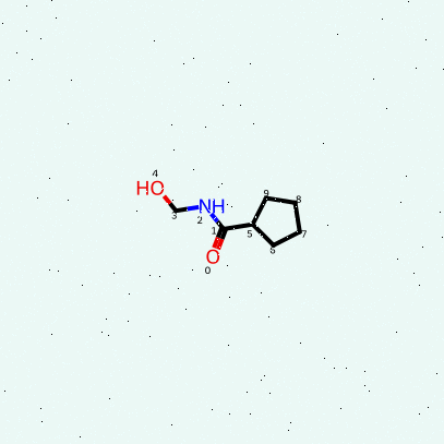 O=C(NCO)C1CCCC1